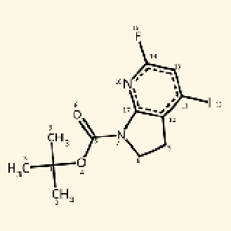 CC(C)(C)OC(=O)N1CCc2c(I)cc(F)nc21